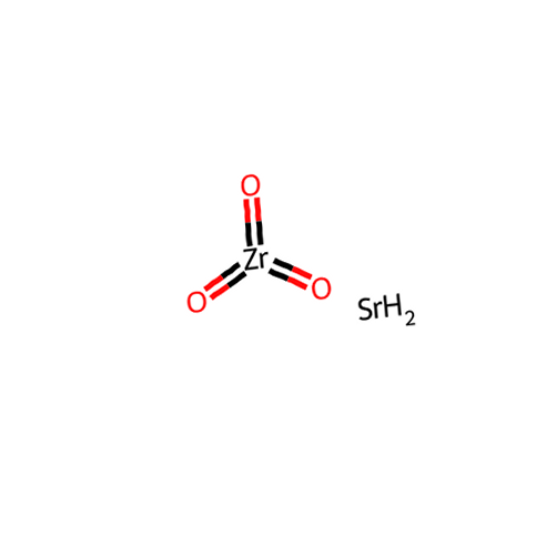 [O]=[Zr](=[O])=[O].[SrH2]